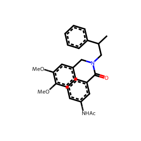 COc1ccc(CN(CC(C)c2ccccc2)C(=O)c2cccc(NC(C)=O)c2)cc1OC